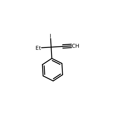 C#CC(I)(CC)c1ccccc1